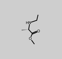 CCN[C@@H](C)C(=O)OC